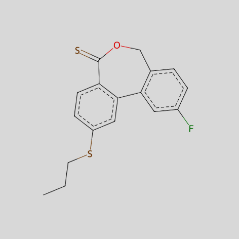 CCCSc1ccc2c(c1)-c1cc(F)ccc1COC2=S